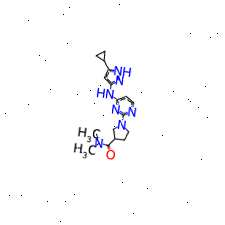 CN(C)C(=O)C1CCN(c2nccc(Nc3cc(C4CC4)[nH]n3)n2)C1